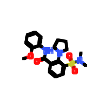 COc1ccccc1NC(=O)c1cccc(S(=O)(=O)N(C)C)c1N1CCCC1